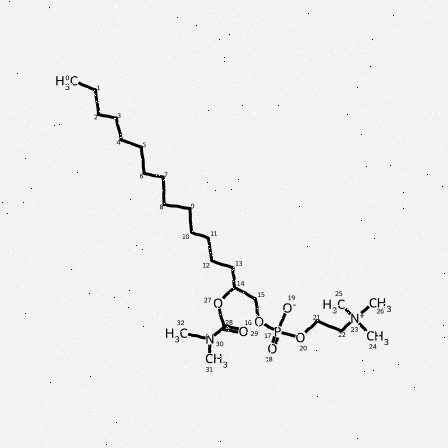 CCCCCCCCCCCCCCC(COP(=O)([O-])OCC[N+](C)(C)C)OC(=O)N(C)C